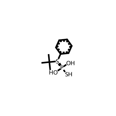 CC(C)(C)S(c1ccccc1)=P(O)(O)S